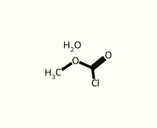 COC(=O)Cl.O